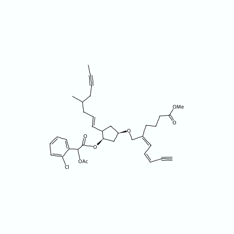 C#C/C=C\C=C(\CCCC(=O)OC)CO[C@@H]1CC(/C=C/CC(C)CC#CC)[C@H](OC(=O)C(OC(C)=O)c2ccccc2Cl)C1